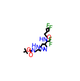 CC(C)(C)OC(=O)NCc1cn2ncc(C(NC(=O)CC3CC(F)(F)C3)C(F)F)cc2n1